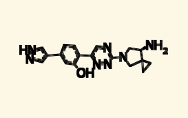 N[C@@H]1CN(c2ncc(-c3ccc(-c4cn[nH]c4)cc3O)nn2)CC12CC2